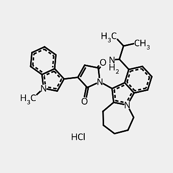 CC(C)C(N)c1cccc2c1c(N1C(=O)C=C(c3cn(C)c4ccccc34)C1=O)c1n2CCCCC1.Cl